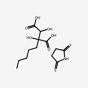 CCCCCC(O)(C(=O)O)C(O)C(=O)O.S=C1CCC(=S)N1